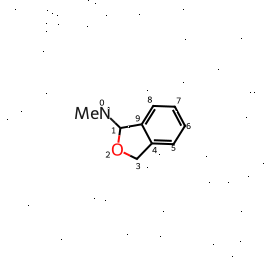 CNC1OCc2ccccc21